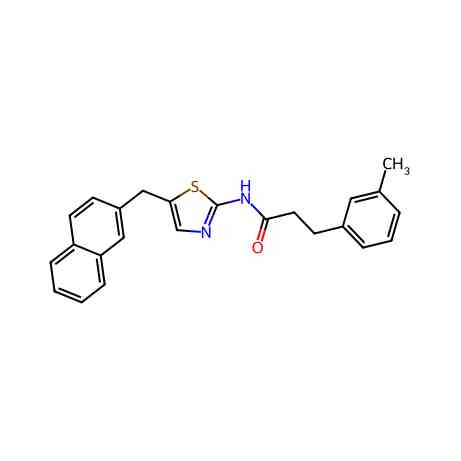 Cc1cccc(CCC(=O)Nc2ncc(Cc3ccc4ccccc4c3)s2)c1